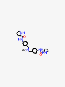 CC(=O)N(Cc1ccc(NC(=O)[C@@H]2CCCN2)cc1)Cc1ccc(NC(=O)[C@@H]2CCCN2)cc1